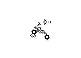 CC(C)CN(C[C@H](O)CNCc1ccccc1)S(=O)(=O)c1ccc2c(c1)OCO2.CS(=O)(=O)O